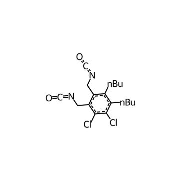 CCCCc1c(Cl)c(Cl)c(CN=C=O)c(CN=C=O)c1CCCC